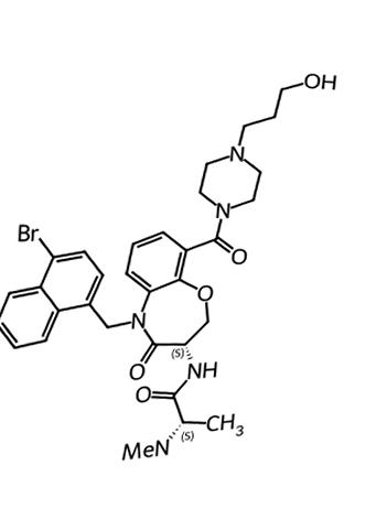 CN[C@@H](C)C(=O)N[C@H]1COc2c(C(=O)N3CCN(CCCO)CC3)cccc2N(Cc2ccc(Br)c3ccccc23)C1=O